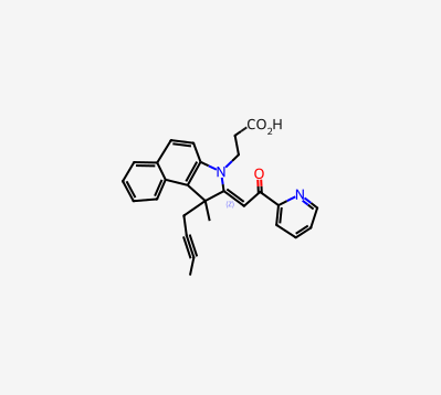 CC#CCC1(C)/C(=C/C(=O)c2ccccn2)N(CCC(=O)O)c2ccc3ccccc3c21